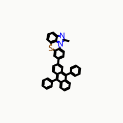 Cc1nc2cccc3c2n1-c1ccc(-c2ccc4c(-c5ccccc5)c5ccccc5c(-c5ccccc5)c4c2)cc1S3